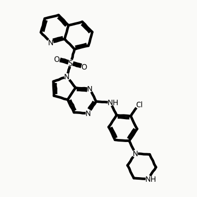 O=S(=O)(c1cccc2cccnc12)n1ccc2cnc(Nc3ccc(N4CCNCC4)cc3Cl)nc21